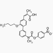 CCCCOc1cc(/C=C(/C)C(=O)O)ccc1-c1cccc(N(C)C(=O)Oc2ccc([N+](=O)[O-])cc2)c1